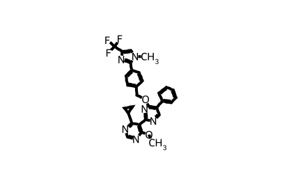 COc1ncnc(C2CC2)c1-c1ncc(-c2ccccc2)c(OCc2ccc(-c3nc(C(F)(F)F)cn3C)cc2)n1